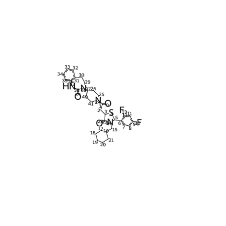 O=C(CC1SC(c2ccc(F)cc2F)N(CC2CCCCC2)C1=O)N1CCC(N2CCc3ccccc3NC2=O)CC1